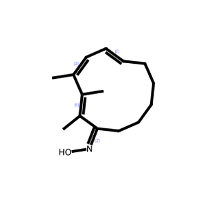 CC1=C/C=C/CCCCCC(=N\O)\C(C)=C\1C